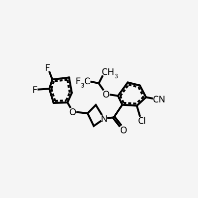 CC(Oc1ccc(C#N)c(Cl)c1C(=O)N1CC(Oc2ccc(F)c(F)c2)C1)C(F)(F)F